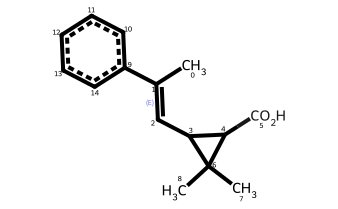 C/C(=C\C1C(C(=O)O)C1(C)C)c1ccccc1